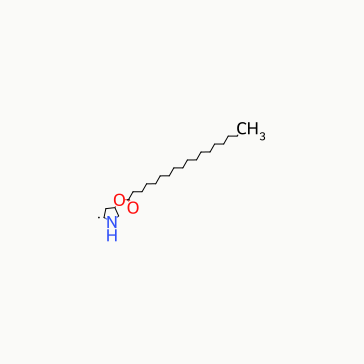 CCCCCCCCCCCCCCCCCC(=O)OC1C[CH]NC1